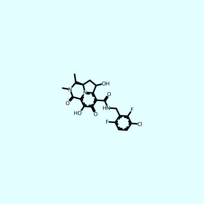 CCC12CC(O)c3c(C(=O)NCc4c(F)ccc(Cl)c4F)c(=O)c(O)c(n31)C(=O)N(C)C2